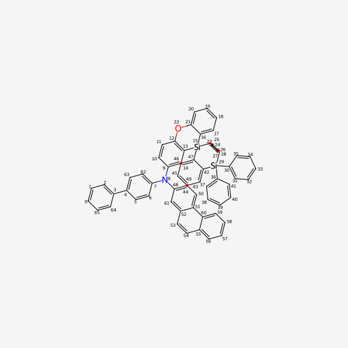 c1ccc(-c2ccc(N(c3ccc4c(c3)[Si]3(c5ccccc5O4)c4ccccc4[Si](c4ccccc4)(c4ccccc4)c4ccccc43)c3ccc4c(ccc5ccccc54)c3)cc2)cc1